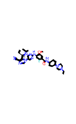 CC[C@@H]1c2c(C#N)ncn2-c2cnc(Nc3cc(F)c(C(=O)NC4CCC(N5CCN(CC)CC5)CC4)cc3OC)nc2N1C(C)C